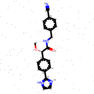 CO[C@H](C(=O)NCc1ccc(C#N)cc1)c1ccc(-c2ncc[nH]2)cc1